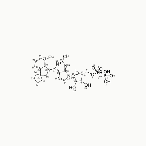 O=P(O)(O)CP(=O)(O)OC[C@H]1O[C@@H](n2cnc3c(N4CC5(CCCC5)c5cccc(F)c54)nc(Cl)nc32)C(O)C1O